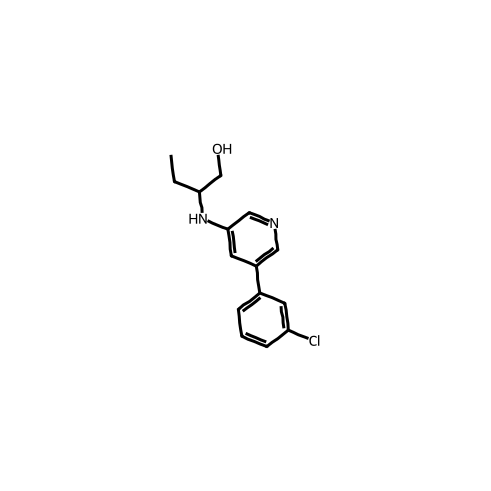 CCC(CO)Nc1cncc(-c2cccc(Cl)c2)c1